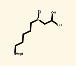 CCCCCCCCCCCCN(CC)CC(O)O